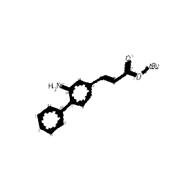 CC(C)(C)OC(=O)/C=C/c1ccc(-c2ccccc2)c(N)c1